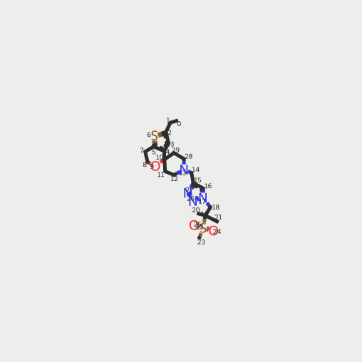 CCc1cc2c(s1)CCOC21CCN(Cc2cn(CC(C)(C)S(C)(=O)=O)nn2)CC1